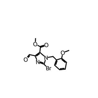 COC(=O)c1c(C=O)nc(Br)n1Cc1ccccc1OC